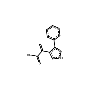 C=C(C(=O)O)c1c[nH]nc1-c1ccccc1